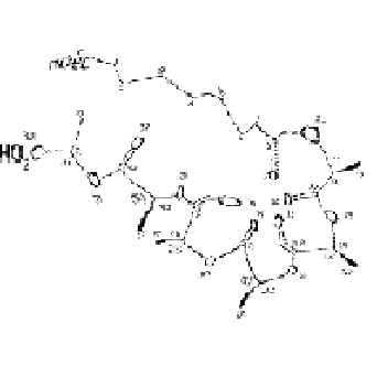 CCCCCCCCCCCCCCCCCC(=O)O[C@@H](C)C(=O)O[C@@H](C)C(=O)O[C@@H](C)C(=O)O[C@@H](C)C(=O)O[C@@H](C)C(=O)O[C@@H](C)C(=O)O